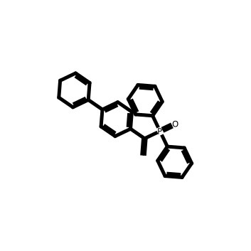 C=C(c1ccc(C2=CCCC=C2)cc1)P(=O)(c1ccccc1)c1ccccc1